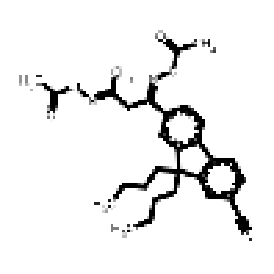 CCCCC1(CCCC)c2cc(C#N)ccc2-c2ccc(/C(C/C(C)=N/OC(C)=O)=N\OC(C)=O)cc21